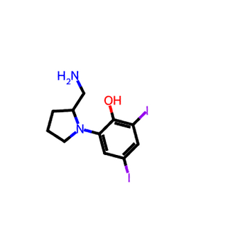 NCC1CCCN1c1cc(I)cc(I)c1O